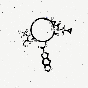 CC(C)(C)OC(=O)N([C@H]1CCCCC/C=C\[C@@H]2C[C@@]2(C(=O)NS(=O)(=O)C2CC2)NC(=O)CC[C@@H](OC(=O)N2Cc3cc4c(cc3C2)OCO4)CNC1=O)S(C)(=O)=O